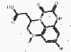 O=C(O)CC1C[S+]([O-])c2cc(Br)cc3[nH]c(=O)c(=O)n1c23